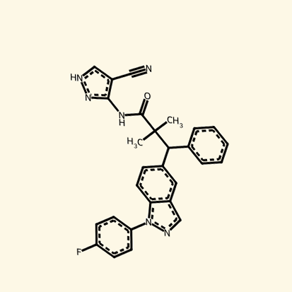 CC(C)(C(=O)Nc1n[nH]cc1C#N)C(c1ccccc1)c1ccc2c(cnn2-c2ccc(F)cc2)c1